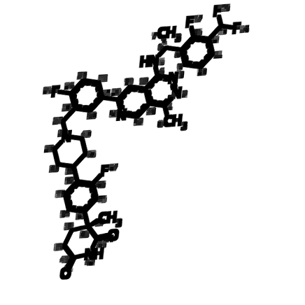 Cc1nnc(N[C@H](C)c2cccc(C(F)F)c2F)c2cc(-c3ccc(F)c(CN4CCC(c5ccc([C@@]6(C)CCC(=O)NC6=O)cc5F)CC4)c3)ncc12